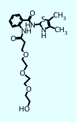 CC1=C(C)SC(NC(=O)c2ccccc2NC(=O)CCOCCOCCOCCO)N1